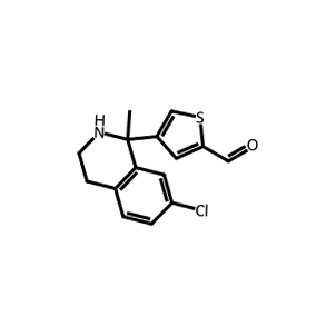 CC1(c2csc(C=O)c2)NCCc2ccc(Cl)cc21